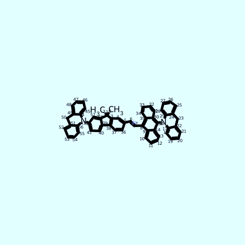 CC1(C)c2cc(/C=C/c3c4ccccc4c(N4c5ccccc5Cc5ccccc54)c4ccccc34)ccc2-c2ccc(N3c4ccccc4Cc4ccccc43)cc21